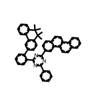 CC1(C)c2ccccc2-c2cc(-c3ccccc3-c3nc(-c4ccccc4)nc(-c4ccc5ccc6c7ccccc7ccc6c5c4)n3)ccc2C1(C)C